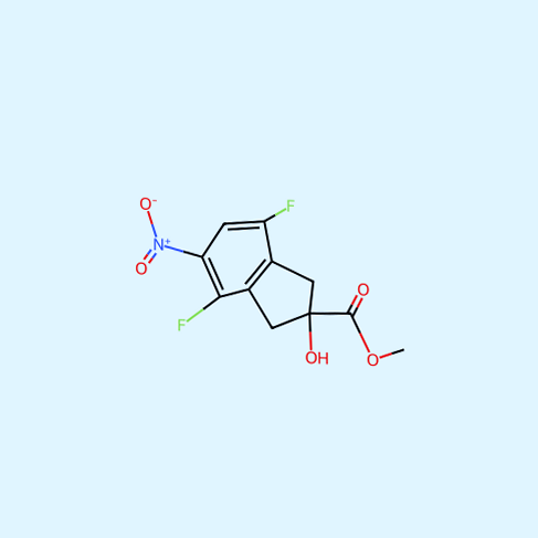 COC(=O)C1(O)Cc2c(F)cc([N+](=O)[O-])c(F)c2C1